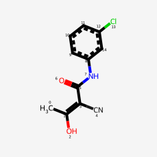 C/C(O)=C(/C#N)C(=O)Nc1cccc(Cl)c1